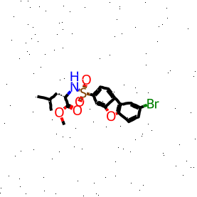 COC(=O)[C@H](CC(C)C)NS(=O)(=O)c1ccc2c(c1)oc1ccc(Br)cc12